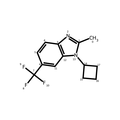 Cc1nc2ccc(C(F)(F)F)cc2n1C1CCC1